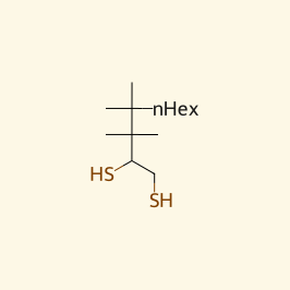 CCCCCCC(C)(C)C(C)(C)C(S)CS